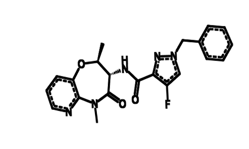 C[C@@H]1Oc2cccnc2N(C)C(=O)[C@H]1NC(=O)c1nn(Cc2ccccc2)cc1F